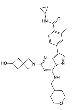 Cc1cc(-c2cnn3c(NCC4CCOCC4)cc(N4CC5(CC(O)C5)C4)nc23)ccc1C(=O)NC1CC1